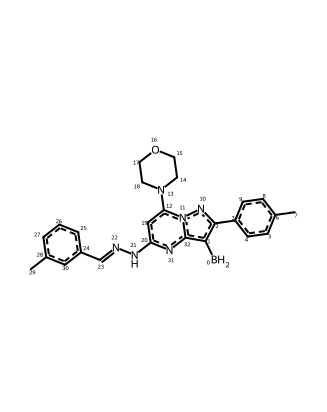 Bc1c(-c2ccc(C)cc2)nn2c(N3CCOCC3)cc(N/N=C/c3cccc(C)c3)nc12